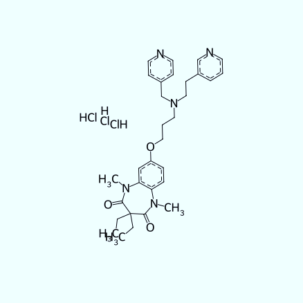 CCC1(CC)C(=O)N(C)c2ccc(OCCCN(CCc3cccnc3)Cc3ccncc3)cc2N(C)C1=O.Cl.Cl.Cl